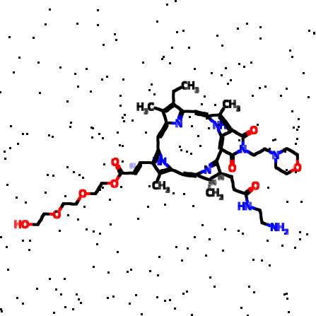 CCC1=C(C)c2cc3[nH]c(cc4nc(c5c6[nH]c(cc1n2)c(C)c6C(=O)N(CCN1CCOCC1)C5=O)[C@@H](CCC(=O)NCCN)[C@@H]4C)c(C)c3/C=C/C(=O)OCCOCCOCCO